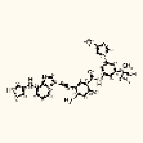 Cc1cn(-c2cc(NC(=O)c3cc(C#Cc4cnc5c(Nc6cn[nH]c6)cccn45)c(C)cc3Cl)cc(C(C)(C)O)c2)cn1